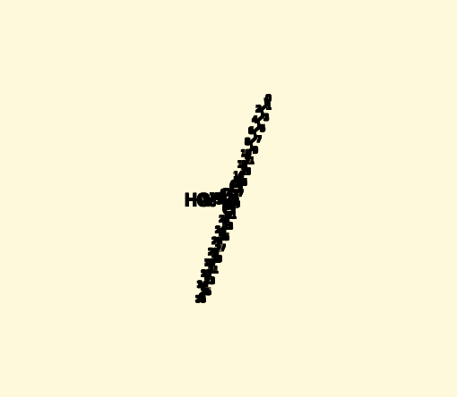 CCCCCCCCCCCCCCCCOCC(COCCCCCCCCCCCCCCCC)OCCCO